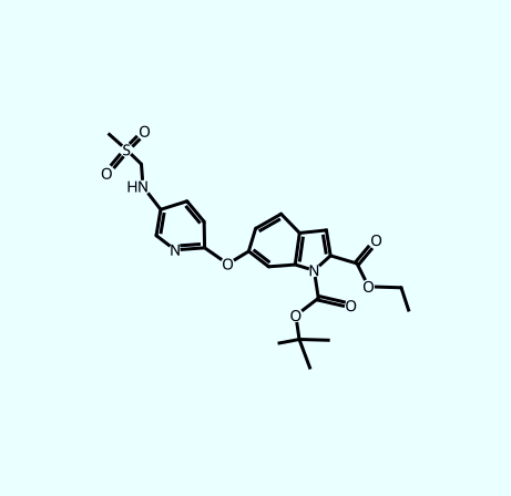 CCOC(=O)c1cc2ccc(Oc3ccc(NCS(C)(=O)=O)cn3)cc2n1C(=O)OC(C)(C)C